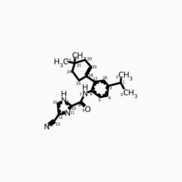 CC(C)c1ccc(NC(=O)c2nc(C#N)c[nH]2)c(C2=CCC(C)(C)CC2)c1